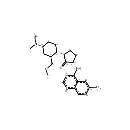 CCOC[C@H]1C[C@H](N(C)C(C)C)CC[C@@H]1N1CC[C@H](Nc2ncnc3ccc(C(F)(F)F)cc23)C1=O